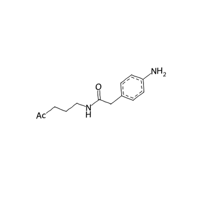 CC(=O)CCCNC(=O)Cc1ccc(N)cc1